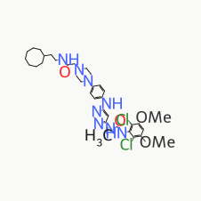 COc1cc(OC)c(Cl)c(NC(=O)N(C)c2cc(Nc3ccc(N4CCN(CC(=O)NCCC5CCCCCCC5)CC4)cc3)ncn2)c1Cl